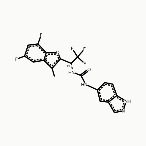 Cc1c([C@@H](NC(=O)Nc2ccc3[nH]ncc3c2)C(F)(F)F)oc2c(F)cc(F)cc12